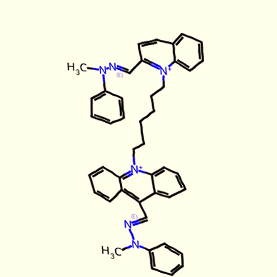 CN(/N=C/c1c2ccccc2[n+](CCCCCC[n+]2c(/C=N/N(C)c3ccccc3)ccc3ccccc32)c2ccccc12)c1ccccc1